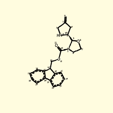 C=C1CN[C@H](C2OCCN2C(=O)OCC2c3ccccc3-c3ccccc32)C1